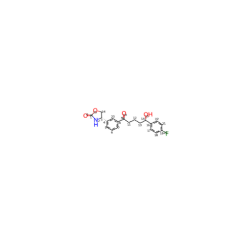 O=C1N[C@@H](c2cccc(C(=O)CCC[C@@H](O)c3ccc(F)cc3)c2)CO1